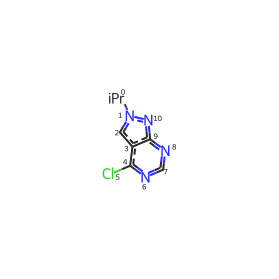 CC(C)n1cc2c(Cl)ncnc2n1